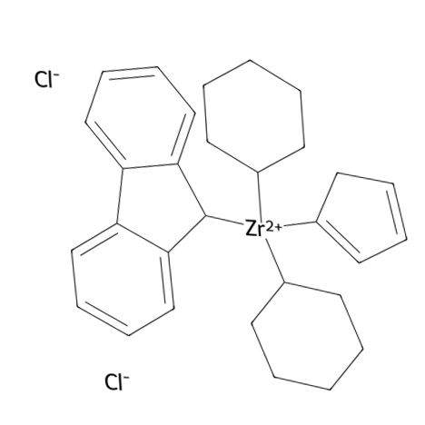 C1=CC[C]([Zr+2]([CH]2CCCCC2)([CH]2CCCCC2)[CH]2c3ccccc3-c3ccccc32)=C1.[Cl-].[Cl-]